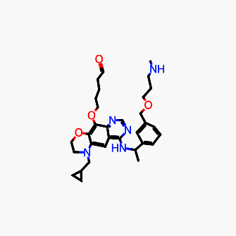 CNCCCOCc1cccc(C(C)Nc2ncnc3c(OCCCCC=O)c4c(cc23)N(CC2CC2)CCO4)c1